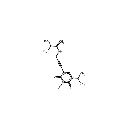 C=C(NCC#Cc1cn(C(C)C)c(=O)n(C)c1=O)C(C)C